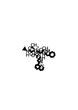 CCC[C@H](NC(=O)[C@@H]1C[C@]2(CC(c3cccc4cccnc34)=NO2)CN1C(=O)[C@@H](NC(=O)CC1CCCCCC1)C(C)(C)C)C(=O)C(=O)NC1CC1